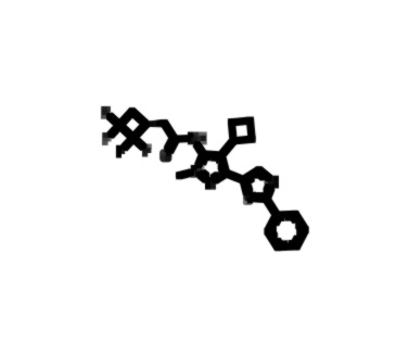 Cn1nc(-c2cnc(-c3ccccc3)s2)c(C2CCC2)c1NC(=O)C[C@@H]1CC(F)(F)C1(F)F